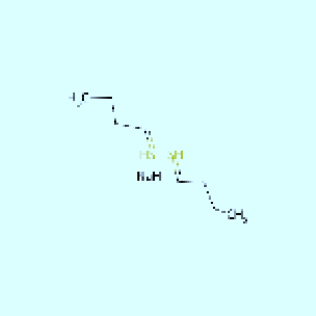 CCCC=[SH][SH]=CCCC.[NaH]